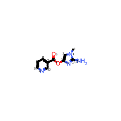 Cn1cc(OC(=O)c2cccnc2)nc1N